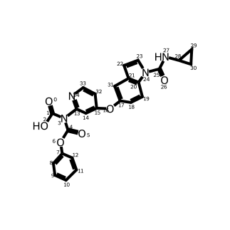 O=C(O)N(C(=O)Oc1ccccc1)c1cc(Oc2ccc3c(ccn3C(=O)NC3CC3)c2)ccn1